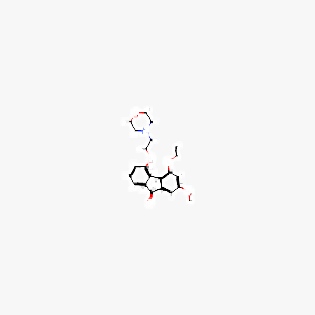 CCOc1cc(OC)cc2c1-c1c(OCCN3CCOCC3)cccc1C2=O